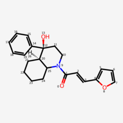 O=C(/C=C/c1ccco1)N1CC[C@@](O)(c2ccccc2)[C@@H]2CCCCC21